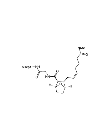 CCCCCCCNC(=O)CNC(=O)[C@H]1[C@@H](C/C=C\CCCC(=O)NC)[C@H]2CC[C@@H]1O2